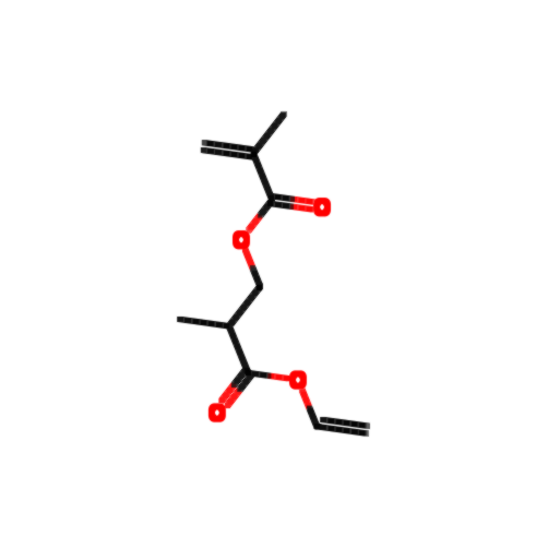 C=COC(=O)C(C)COC(=O)C(=C)C